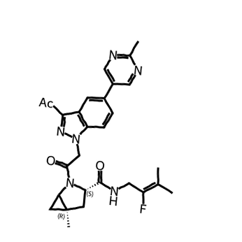 CC(=O)c1nn(CC(=O)N2C3C[C@]3(C)C[C@H]2C(=O)NCC(F)=C(C)C)c2ccc(-c3cnc(C)nc3)cc12